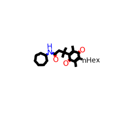 CCCCCCC1=C(C)C(=O)C(C(C)(C)CC(=O)NC2CCCCCC2)=C(C)C1=O